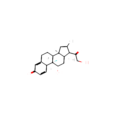 CC1C[C@H]2[C@@H]3CCC4=CC(=O)C=C[C@]4(C)[C@@]3(F)[C@@H](O)C[C@]2(C)C1C(=O)CO